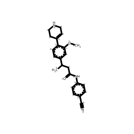 COc1cc(C(C)CC(=O)Nc2ccc(C#N)cc2)ccc1C1=CCNCC1